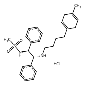 CC1=CCC(CCCCN[C@H](c2ccccc2)[C@@H](NS(C)(=O)=O)c2ccccc2)=CC1.Cl